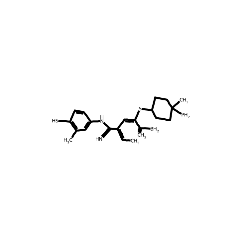 BC(=C)/C(=C\C(=C/C)C(=N)Nc1ccc(S)c(C)c1)SC1CCC(C)(P)CC1